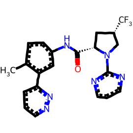 Cc1ccc(NC(=O)[C@@H]2C[C@H](C(F)(F)F)CN2c2ncccn2)cc1-c1cccnn1